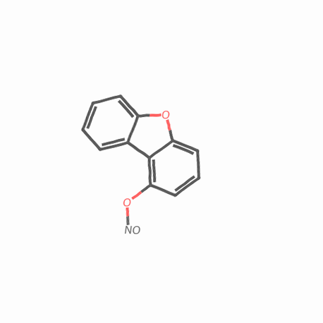 O=NOc1cccc2oc3ccccc3c12